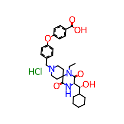 CCN1C(=O)[C@@H]([C@H](O)C2CCCCC2)NC(=O)C12CCN(Cc1ccc(Oc3ccc(C(=O)O)cc3)cc1)CC2.Cl